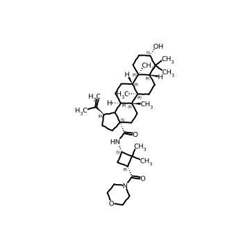 C=C(C)[C@@H]1CC[C@]2(C(=O)N[C@H]3C[C@@H](C(=O)N4CCOCC4)C3(C)C)CC[C@]3(C)[C@H](CC[C@@H]4[C@@]5(C)CC[C@H](O)C(C)(C)[C@@H]5CC[C@]43C)C12